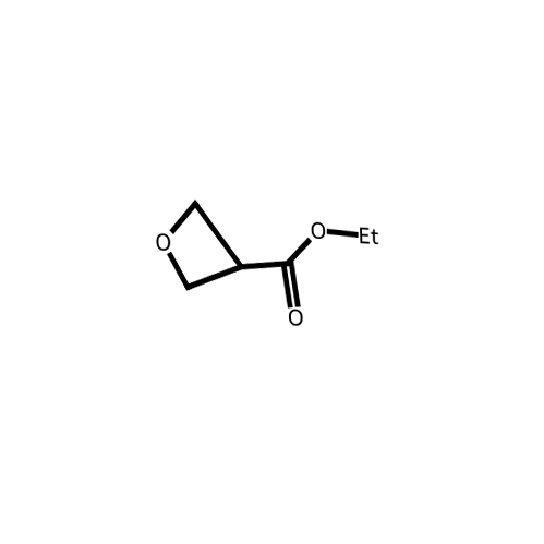 CCOC(=O)C1COC1